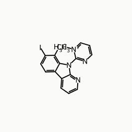 Cc1c(I)ccc2c3cccnc3n(-c3nccc[n+]3C)c12